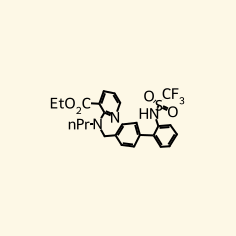 CCCN(Cc1ccc(-c2ccccc2NS(=O)(=O)C(F)(F)F)cc1)c1ncccc1C(=O)OCC